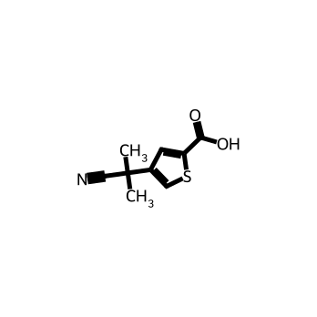 CC(C)(C#N)c1csc(C(=O)O)c1